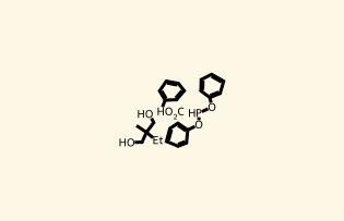 CCC(C)(CO)CO.O=C(O)c1ccccc1.c1ccc(OPOc2ccccc2)cc1